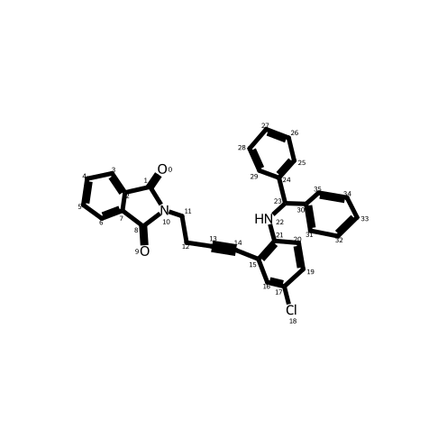 O=C1c2ccccc2C(=O)N1CCC#Cc1cc(Cl)ccc1NC(c1ccccc1)c1ccccc1